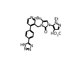 CCCCc1cn(-c2c(C(=O)O)cnn2CC)c(=O)n1Cc1cnccc1-c1ccc(-c2nnn[nH]2)cc1